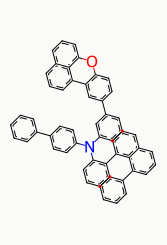 c1ccc(-c2ccc(N(c3cccc(-c4ccc5c(c4)-c4cccc6cccc(c46)O5)c3)c3ccccc3-c3cccc4cccc(-c5ccccc5)c34)cc2)cc1